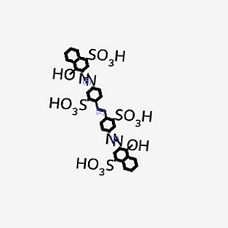 O=S(=O)(O)c1cc(/N=N/c2cc(S(=O)(=O)O)c3ccccc3c2O)ccc1/C=C/c1ccc(/N=N/c2cc(S(=O)(=O)O)c3ccccc3c2O)cc1S(=O)(=O)O